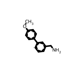 COc1ccc(-c2[c]ccc(CN)c2)cc1